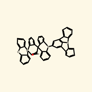 c1ccc2c(c1)Oc1ccccc1[Si]21c2ccccc2C2(c3ccccc3N(c3cc4c5ccccc5n5c6ccccc6c(c3)c45)c3ccccc32)c2ccccc21